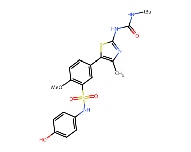 COc1ccc(-c2sc(NC(=O)NC(C)(C)C)nc2C)cc1S(=O)(=O)Nc1ccc(O)cc1